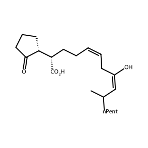 CCCCCC(C)/C=C(/O)C/C=C\CC[C@H](C(=O)O)[C@H]1CCCC1=O